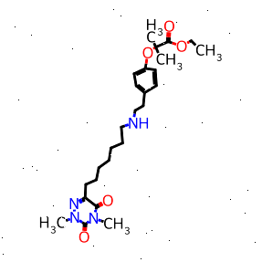 CCOC(=O)C(C)(C)Oc1ccc(CCNCCCCCCCc2nn(C)c(=O)n(C)c2=O)cc1